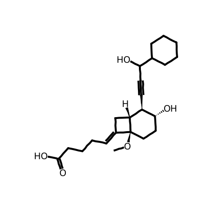 CO[C@]12CC[C@@H](O)[C@H](C#CC(O)C3CCCCC3)[C@H]1CC2=CCCCC(=O)O